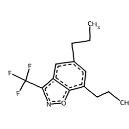 CCCc1cc(CCC)c2onc(C(F)(F)F)c2c1